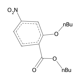 CCCCOC(=O)c1ccc([N+](=O)[O-])cc1OCCCC